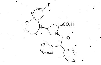 O=C(O)[C@@H]1C[C@H](N2CCCOc3ccc(F)cc32)CN1C(=O)C(c1ccccc1)c1ccccc1